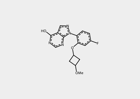 COC1CC(Oc2cc(F)ccc2-n2ncc3c(O)ncnc32)C1